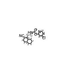 N#Cc1ccc2ccccc2c1CCNC(=O)Oc1cc(Cl)ncn1